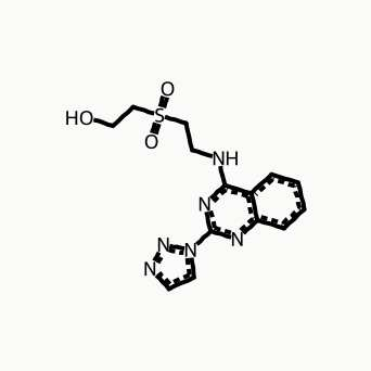 O=S(=O)(CCO)CCNc1nc(-n2ccnn2)nc2ccccc12